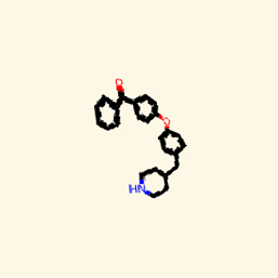 O=C(c1ccccc1)c1ccc(Oc2ccc(CC3CCNCC3)cc2)cc1